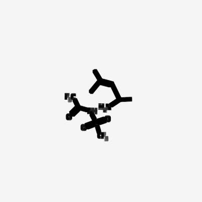 CC(C)=CC(C)N.O=C(NS(=O)(=O)C(F)(F)F)C(F)(F)F